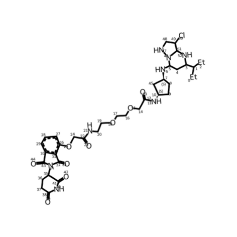 CCC(CC)C1CC(N[C@H]2CC[C@H](NC(=O)COCCOCCNC(=O)COc3cccc4c3C(=O)N(C3CCC(=O)NC3=O)C4=O)C2)N2NCC(Cl)C2N1